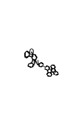 O=S12(c3ccccc3-c3ccccc31)c1ccccc1-c1cc(-c3ccc(-n4c5ccccc5c5c6c(ccc54)oc4ccccc46)cc3)ccc12